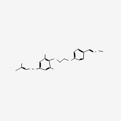 CC(C)(C)ON=Cc1ccc(OCCOc2c(Cl)cc(OCC=C(Cl)Cl)cc2Cl)cc1